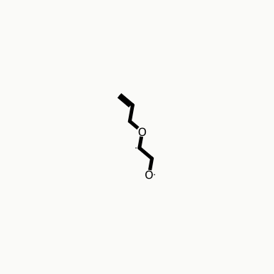 C=CCO[CH]C[O]